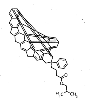 CC(C)COC(=O)CCCC1(c2ccccc2)c2c3c4cc5cc6c7c8c9c%10c(cc%11c%12c%13c(cc(c%14c2c2c(c%13%14)c(c%12%10)c9c9c7c5c3c29)C1CC=4)C%11)CC=8C6